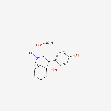 CN(C)CC(c1ccc(O)cc1)C1(O)CCCCC1.O=S(=O)(O)O